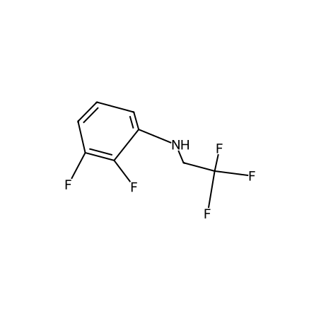 Fc1cccc(NCC(F)(F)F)c1F